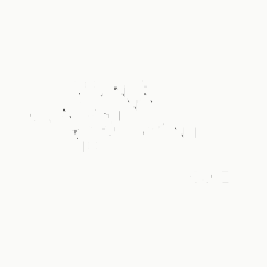 CCOC(=O)CCNC(=O)C[n+]1ccn(C[C@@]2(C)[C@H](C(=O)O)N3C(=O)C[C@H]3S2(=O)=O)n1